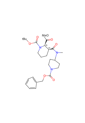 COC(=O)[C@H]1[C@@H](C(=O)N(C)C2CCN(C(=O)OCc3ccccc3)CC2)CCCN1C(=O)OC(C)(C)C